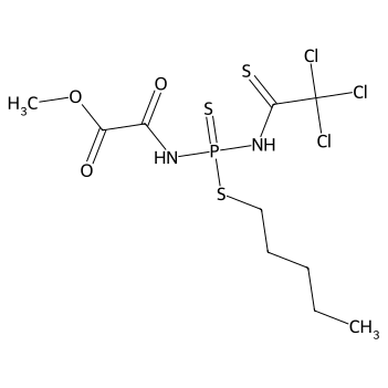 CCCCCSP(=S)(NC(=O)C(=O)OC)NC(=S)C(Cl)(Cl)Cl